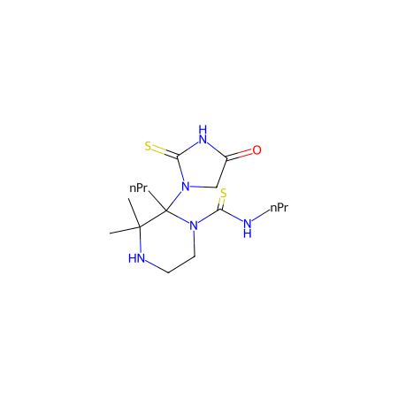 CCCNC(=S)N1CCNC(C)(C)C1(CCC)N1CC(=O)NC1=S